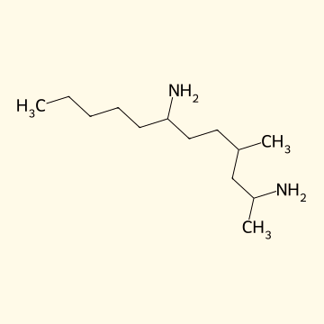 CCCCCC(N)CCC(C)CC(C)N